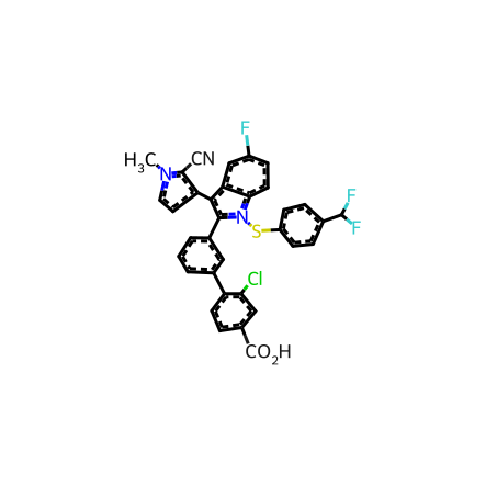 Cn1ccc(-c2c(-c3cccc(-c4ccc(C(=O)O)cc4Cl)c3)n(Sc3ccc(C(F)F)cc3)c3ccc(F)cc23)c1C#N